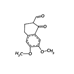 COc1cc2c(cc1OC)C(=O)C(C=O)CC2